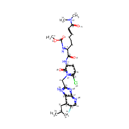 COC(=O)NC(CCC=CC(=O)N(C)C)C(=O)Nc1ccc(Cl)n(Cc2nc3ncc(F)c(CC(C)C)c3[nH]2)c1=O